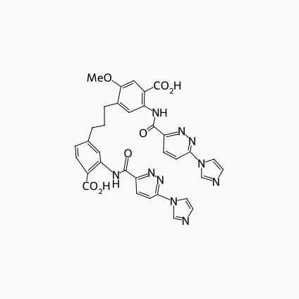 COc1cc(C(=O)O)c(NC(=O)c2ccc(-n3ccnc3)nn2)cc1CCCc1ccc(C(=O)O)c(NC(=O)c2ccc(-n3ccnc3)nn2)c1